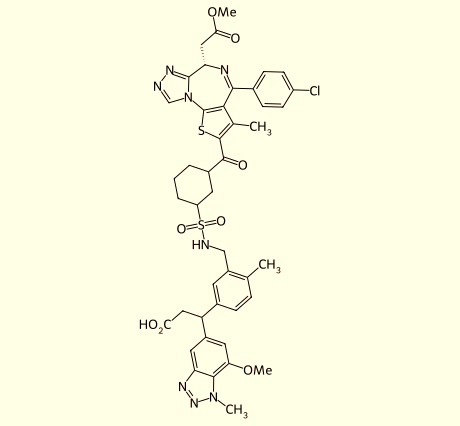 COC(=O)C[C@@H]1N=C(c2ccc(Cl)cc2)c2c(sc(C(=O)C3CCCC(S(=O)(=O)NCc4cc(C(CC(=O)O)c5cc(OC)c6c(c5)nnn6C)ccc4C)C3)c2C)-n2cnnc21